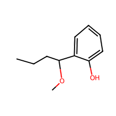 CCCC(OC)c1ccccc1O